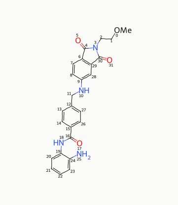 COCCN1C(=O)c2ccc(NCc3ccc(C(=O)Nc4ccccc4N)cc3)cc2C1=O